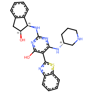 Oc1nc(N[C@@H]2c3ccccc3C[C@@H]2O)nc(N[C@@H]2CCCNC2)c1-c1nc2ccccc2s1